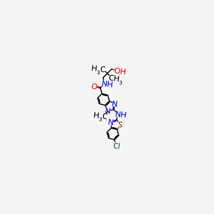 Cn1c(Nc2nc3ccc(Cl)cc3s2)nc2cc(C(=O)NCC(C)(C)CO)ccc21